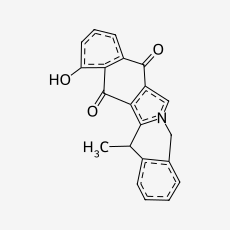 CC1c2ccccc2Cn2cc3c(c21)C(=O)c1c(O)cccc1C3=O